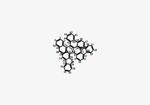 c1ccc2c(-c3c(N(c4cccc5c4oc4ccccc45)c4cccc5c4sc4ccccc45)c4ccccc4c4ccccc34)cccc2c1